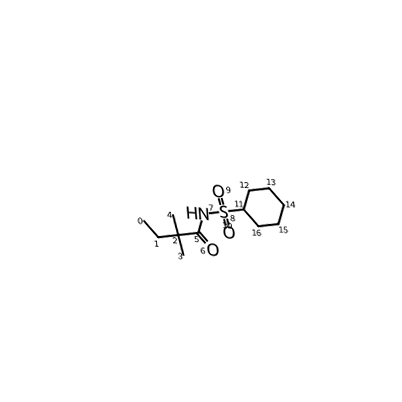 CCC(C)(C)C(=O)NS(=O)(=O)C1CCCCC1